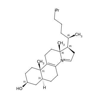 CC(C)CCC[C@@H](C)[C@H]1CC=[N+]2C3=C(CC[C@]12C)[C@@]1(C)CC[C@H](O)C[C@@H]1CC3